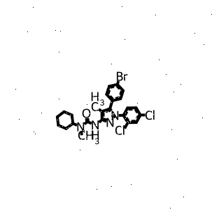 Cc1c(NC(=O)N(C)C2CCCCC2)nn(-c2ccc(Cl)cc2Cl)c1-c1ccc(Br)cc1